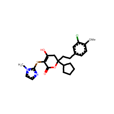 COc1ccc(CCC2(C3CCCC3)CC(O)=C(Sc3nccn3C)C(=O)O2)cc1Cl